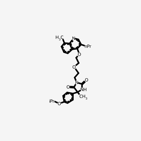 CCCc1cnc2c(C)cccc2c1OCCOCCN1C(=O)NC(C)(c2ccc(OC(C)C)cc2)C1=O